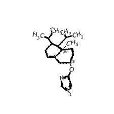 CC(C)C1CC=C2C[C@@H](Oc3cscn3)CC[C@]2(C)C1C(C)C